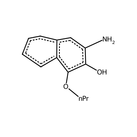 CCCOc1c(O)c(N)cc2ccccc12